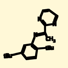 CC(=Nc1cc(C(C)(C)C)ccc1C(C)(C)C)c1ncccn1